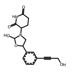 O=C1CCC(N2CC(c3cccc(C#CCO)c3)OC2O)C(=O)N1